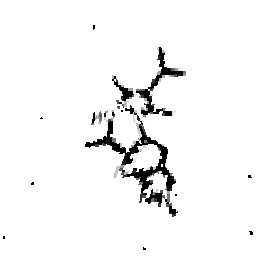 Cc1nn(-c2cc3cn(C)nc3nc2C(C)O)c(C)c1C(C)C